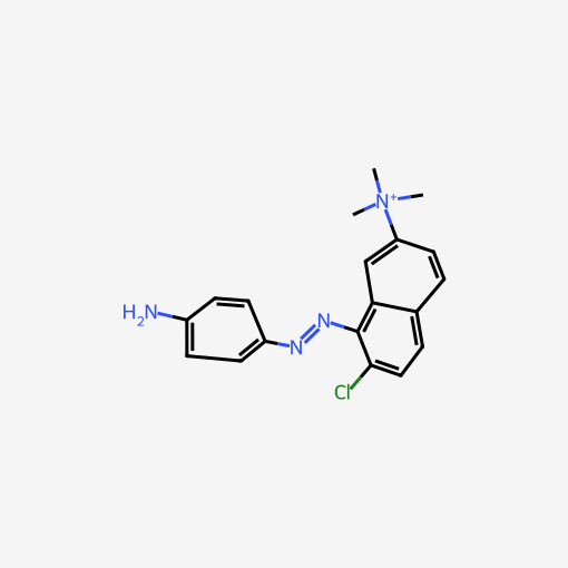 C[N+](C)(C)c1ccc2ccc(Cl)c(/N=N/c3ccc(N)cc3)c2c1